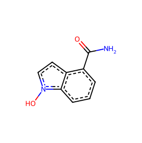 NC(=O)c1cccc2c1ccn2O